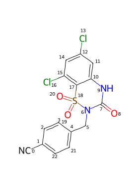 N#Cc1ccc(CN2C(=O)Nc3cc(Cl)cc(Cl)c3S2(=O)=O)cc1